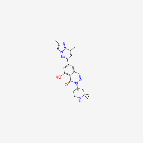 Cc1cn2nc(-c3cc(O)c4c(=O)n([C@@H]5CCNC6(CC6)C5)ncc4c3)cc(C)c2n1